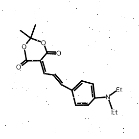 CCN(CC)c1ccc(C=CC=C2C(=O)OC(C)(C)OC2=O)cc1